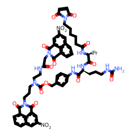 CC(C)[C@H](NC(=O)CCCCCN1C(=O)C=CC1=O)C(=O)N[C@@H](CCCNC(N)=O)C(=O)Nc1ccc(COC(=O)N(CCCN2C(=O)c3cccc4cc([N+](=O)[O-])cc(c34)C2=O)CCNC(=O)CN2C(=O)c3cccc4cc([N+](=O)[O-])cc(c34)C2=O)cc1